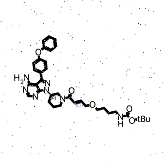 CC(C)(C)OC(=O)NCCCCOC/C=C/C(=O)N1CCC[C@@H](n2nc(-c3ccc(Oc4ccccc4)cc3)c3c(N)ncnc32)C1